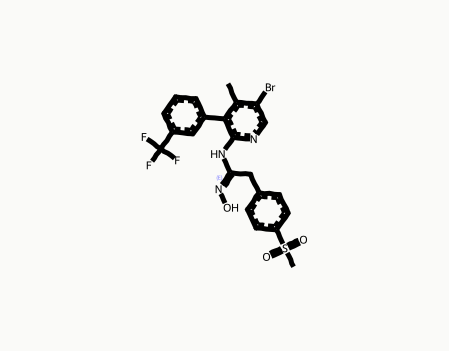 Cc1c(Br)cnc(N/C(Cc2ccc(S(C)(=O)=O)cc2)=N/O)c1-c1cccc(C(F)(F)F)c1